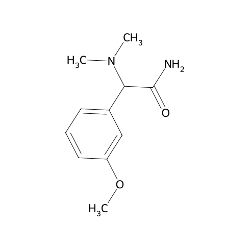 COc1cccc(C(C(N)=O)N(C)C)c1